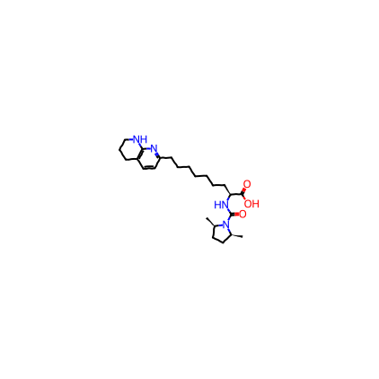 C[C@@H]1CC[C@H](C)N1C(=O)N[C@@H](CCCCCCCc1ccc2c(n1)NCCC2)C(=O)O